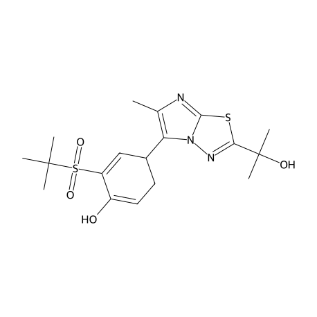 Cc1nc2sc(C(C)(C)O)nn2c1C1C=C(S(=O)(=O)C(C)(C)C)C(O)=CC1